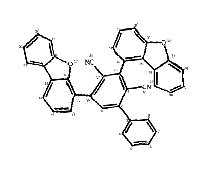 N#Cc1c(-c2ccccc2)cc(-c2cccc3c2oc2ccccc23)c(C#N)c1-c1cccc2oc3ccccc3c12